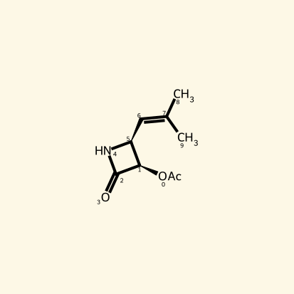 CC(=O)O[C@H]1C(=O)N[C@H]1C=C(C)C